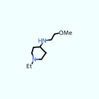 CCN1CCC(NCCOC)CC1